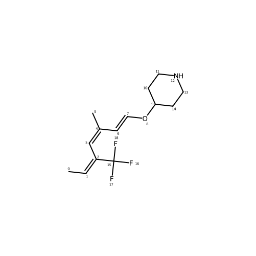 C\C=C(/C=C(C)\C=C\OC1CCNCC1)C(F)(F)F